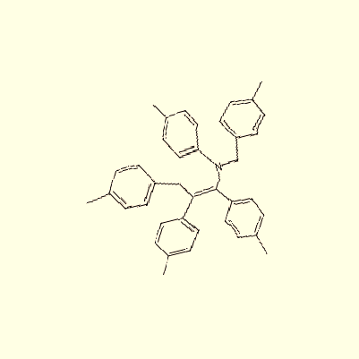 Cc1ccc(C/C(=C(/c2ccc(C)cc2)N(Cc2ccc(C)cc2)c2ccc(C)cc2)c2ccc(C)cc2)cc1